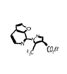 CCOC(=O)c1cnn(-c2nccc3ccoc23)c1C(F)(F)F